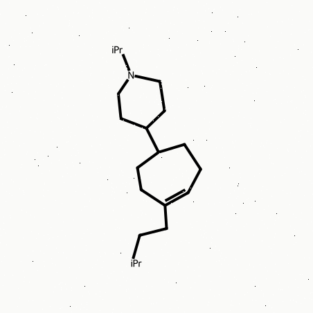 CC(C)CCC1=CCCC(C2CCN(C(C)C)CC2)CC1